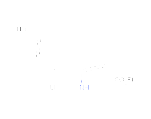 C/C=C/[C@@H](C)C/C(N)=C/C(=O)OCC